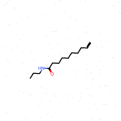 C=CCCCCCCCC(=O)NCCC